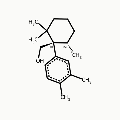 Cc1ccc([C@@]2(CO)[C@@H](C)CCCC2(C)C)cc1C